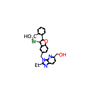 CCc1nc2ccc(CO)nc2n1Cc1ccc2oc(-c3ccccc3C(=O)O)c(Br)c2c1